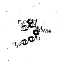 COc1cc(C(=O)N2CCC(N3CCN(C)CC3)CC2)ccc1Nc1cc(N2CCOCC2)c2c(C(F)(F)F)c[nH]c2n1